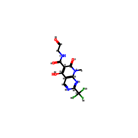 Cn1c(=O)c(C(=O)NCC=O)c(O)c2cnc(C(F)(F)F)nc21